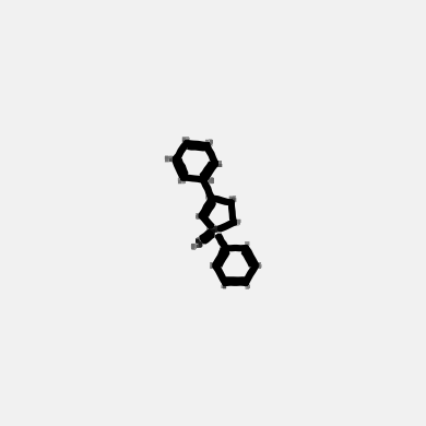 S=P1(c2ccccc2)C=C(c2ccccc2)CC1